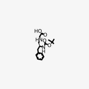 CC(C)(C)OC(=O)N[C@H](CNCC(=O)O)Cc1ccccc1